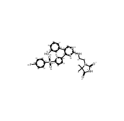 CC1(C)C(=O)NC(=O)N1CCNc1ncc(-c2cccc(O)c2)c(-c2ccc(S(=O)(=O)c3ccc(F)cc3)s2)n1